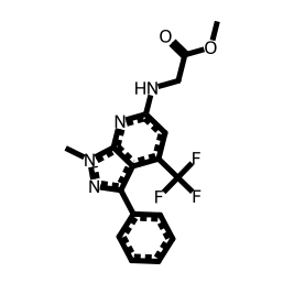 COC(=O)CNc1cc(C(F)(F)F)c2c(-c3ccccc3)nn(C)c2n1